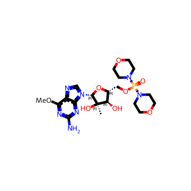 COc1nc(N)nc2c1ncn2[C@@H]1O[C@H](COP(=O)(N2CCOCC2)N2CCOCC2)[C@@H](O)[C@@]1(C)O